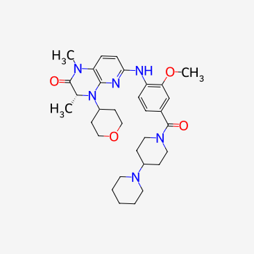 COc1cc(C(=O)N2CCC(N3CCCCC3)CC2)ccc1Nc1ccc2c(n1)N(C1CCOCC1)[C@H](C)C(=O)N2C